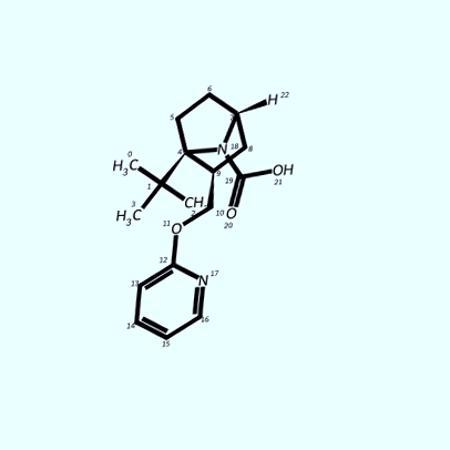 CC(C)(C)[C@]12CC[C@H](C[C@H]1COc1ccccn1)N2C(=O)O